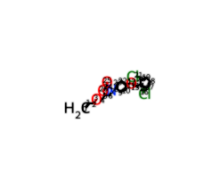 C=CCOCC1CN(c2ccc(OCc3c(Cl)cccc3Cl)cc2)C(=O)O1